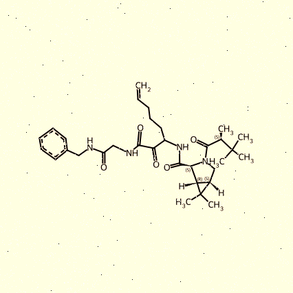 C=CCCCC(NC(=O)[C@@H]1[C@@H]2[C@H](CN1C(=O)[C@@H](C)C(C)(C)C)C2(C)C)C(=O)C(=O)NCC(=O)NCc1ccccc1